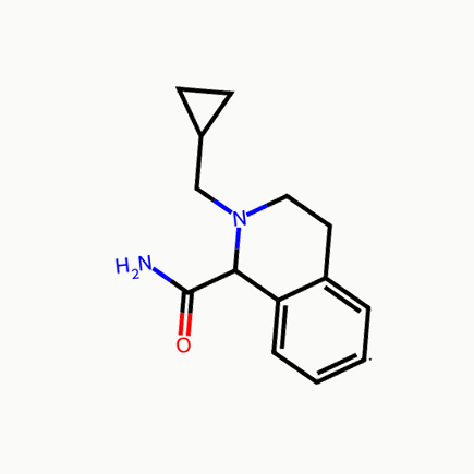 NC(=O)C1c2cc[c]cc2CCN1CC1CC1